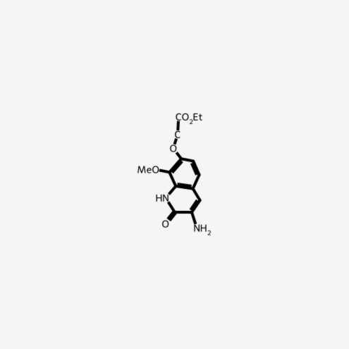 CCOC(=O)COc1ccc2cc(N)c(=O)[nH]c2c1OC